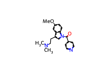 COc1ccc2c(c1)c(CCN(C)C)cn2C(=O)c1ccncc1